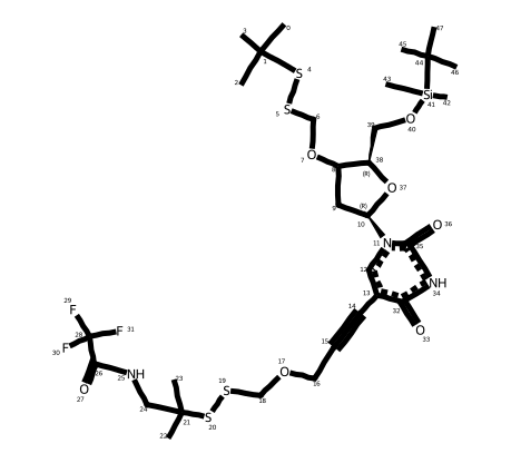 CC(C)(C)SSCOC1C[C@H](n2cc(C#CCOCSSC(C)(C)CNC(=O)C(F)(F)F)c(=O)[nH]c2=O)O[C@@H]1CO[Si](C)(C)C(C)(C)C